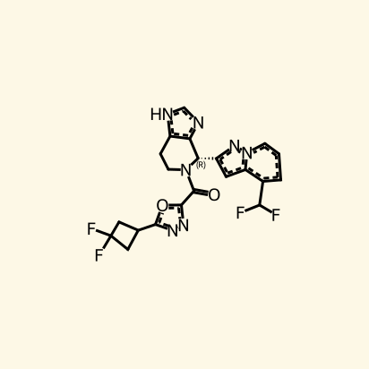 O=C(c1nnc(C2CC(F)(F)C2)o1)N1CCc2[nH]cnc2[C@@H]1c1cc2c(C(F)F)cccn2n1